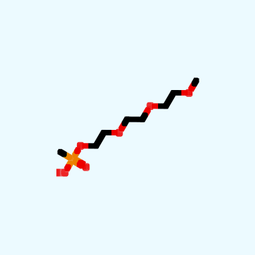 COCCOCCOCCOP(C)(=O)O